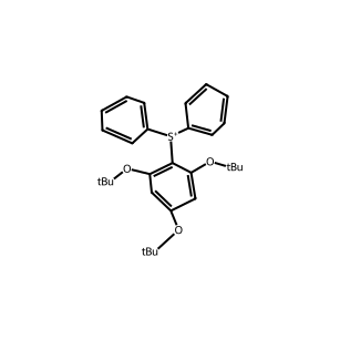 CC(C)(C)Oc1cc(OC(C)(C)C)c([S+](c2ccccc2)c2ccccc2)c(OC(C)(C)C)c1